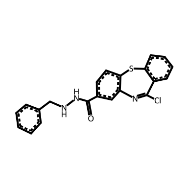 O=C(NNCc1ccccc1)c1ccc2c(c1)N=C(Cl)c1ccccc1S2